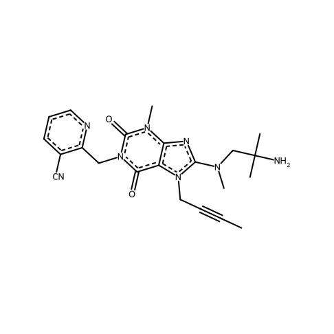 CC#CCn1c(N(C)CC(C)(C)N)nc2c1c(=O)n(Cc1ncccc1C#N)c(=O)n2C